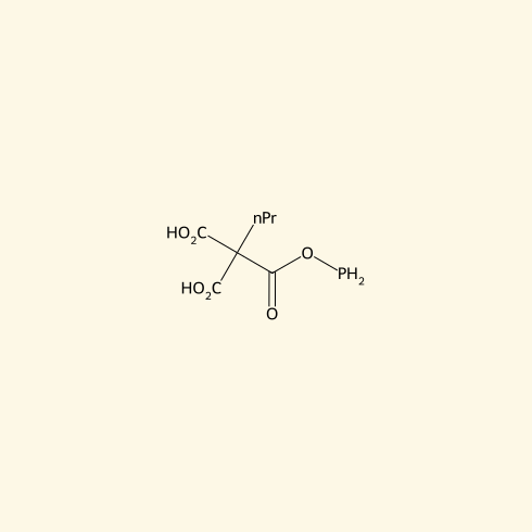 CCCC(C(=O)O)(C(=O)O)C(=O)OP